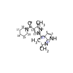 C=C/N=C1/NC=C/C1=C(/C)n1cc(C(=O)N2CCCCC2)c(C)n1